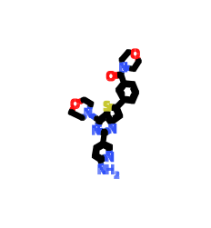 Nc1ccc(-c2nc(N3CCOCC3)c3sc(-c4cccc(C(=O)N5CCOCC5)c4)cc3n2)cn1